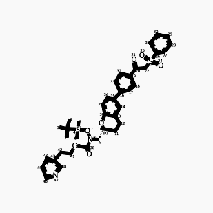 CC(C)(C)[Si](C)(C)ON(C[C@H]1CCc2cc(-c3ccc(C(=O)CS(=O)(=O)c4ccccc4)cc3)ccc2O1)C(=O)OCCc1cccnc1